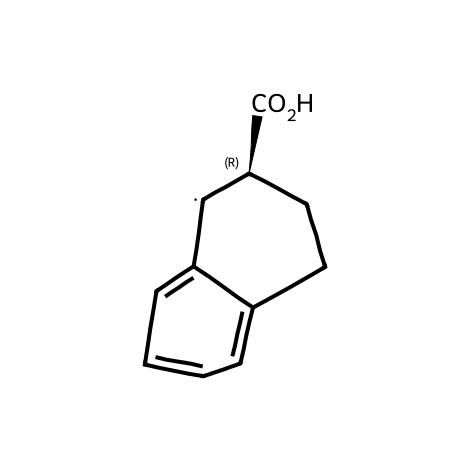 O=C(O)[C@@H]1[CH]c2ccccc2CC1